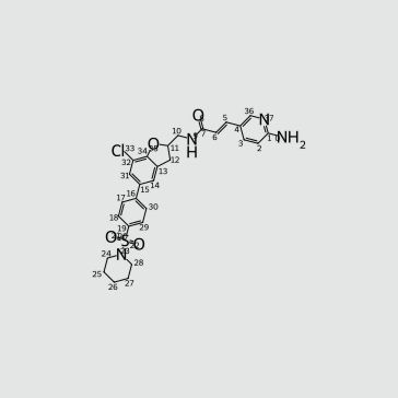 Nc1ccc(/C=C/C(=O)NCC2Cc3cc(-c4ccc(S(=O)(=O)N5CCCCC5)cc4)cc(Cl)c3O2)cn1